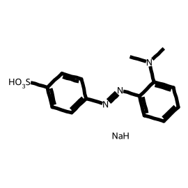 CN(C)c1ccccc1N=Nc1ccc(S(=O)(=O)O)cc1.[NaH]